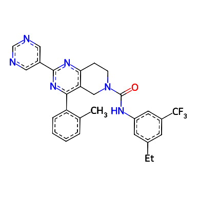 CCc1cc(NC(=O)N2CCc3nc(-c4cncnc4)nc(-c4ccccc4C)c3C2)cc(C(F)(F)F)c1